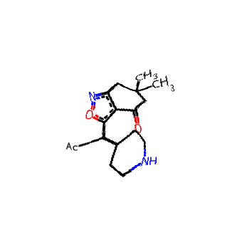 CC(=O)C(c1onc2c1C(=O)CC(C)(C)C2)C1CCNCC1